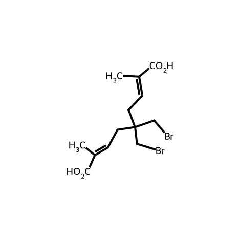 CC(=CCC(CBr)(CBr)CC=C(C)C(=O)O)C(=O)O